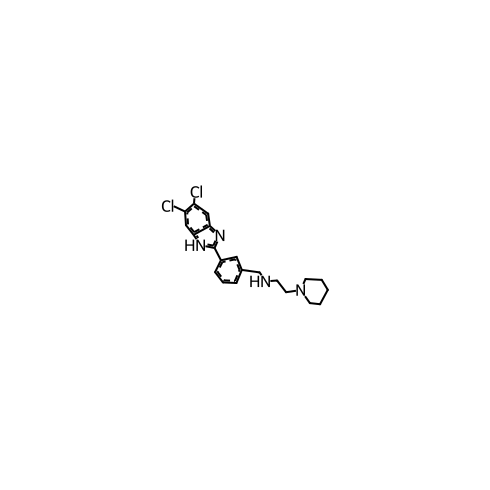 Clc1cc2nc(-c3cccc(CNCCN4CCCCC4)c3)[nH]c2cc1Cl